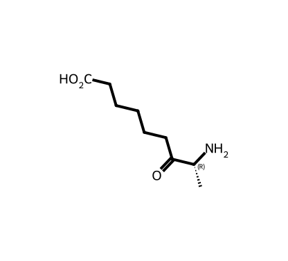 C[C@@H](N)C(=O)CCCCCC(=O)O